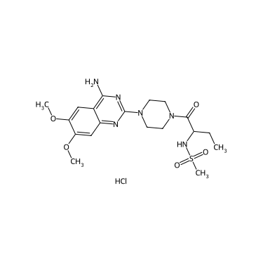 CCC(NS(C)(=O)=O)C(=O)N1CCN(c2nc(N)c3cc(OC)c(OC)cc3n2)CC1.Cl